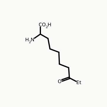 CCC(=O)CCCCCC(N)C(=O)O